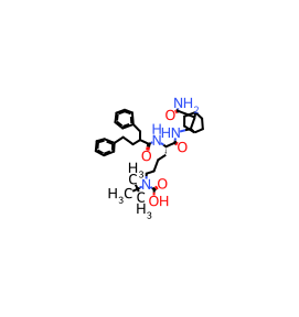 CC(C)(C)N(CCCC[C@H](NC(=O)C(CCc1ccccc1)Cc1ccccc1)C(=O)NC1C2CCC(CC2)C1C(N)=O)C(=O)O